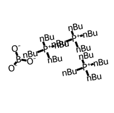 CCCC[P+](CCCC)(CCCC)CCCC.CCCC[P+](CCCC)(CCCC)CCCC.CCCC[P+](CCCC)(CCCC)CCCC.[O-]B([O-])[O-]